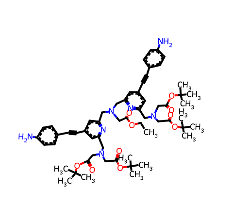 CCOC(=O)CN(Cc1cc(C#Cc2ccc(N)cc2)cc(CN(CC(=O)OC(C)(C)C)CC(=O)OC(C)(C)C)n1)Cc1cc(C#Cc2ccc(N)cc2)cc(CN(CC(=O)OC(C)(C)C)CC(=O)OC(C)(C)C)n1